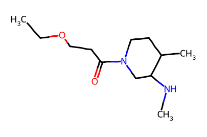 CCOCCC(=O)N1CCC(C)C(NC)C1